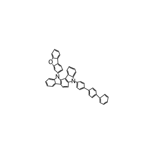 c1ccc(-c2ccc(-c3ccc(-n4c5ccccc5c5c4ccc4c6ccccc6n(-c6ccc7c(c6)oc6ccccc67)c45)cc3)cc2)cc1